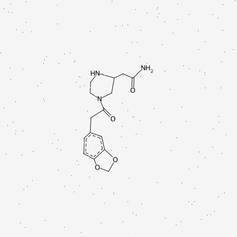 NC(=O)CC1CN(C(=O)Cc2ccc3c(c2)OCO3)CCN1